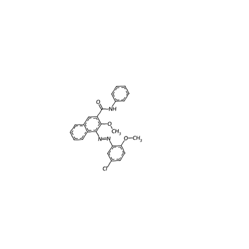 COc1ccc(Cl)cc1N=Nc1c(OC)c(C(=O)Nc2ccccc2)cc2ccccc12